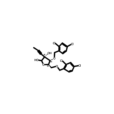 CC#C[C@]1(O)C(O)O[C@H](COCc2ccc(Cl)cc2Cl)[C@H]1OCc1ccc(Cl)cc1Cl